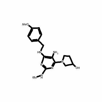 COc1ccc(CNc2nc(NC(C)(C)C)nc(N3CCC(O)C3)c2N)cc1